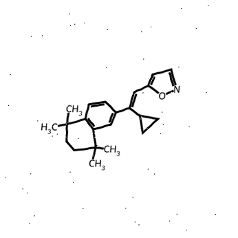 CC1(C)CCC(C)(C)c2cc(C(=Cc3ccno3)C3CC3)ccc21